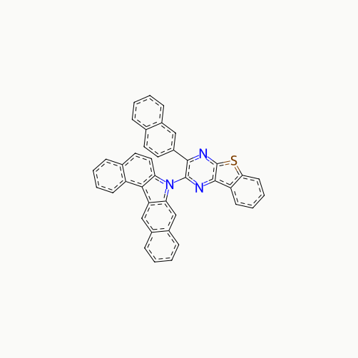 c1ccc2cc(-c3nc4sc5ccccc5c4nc3-n3c4cc5ccccc5cc4c4c5ccccc5ccc43)ccc2c1